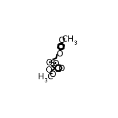 COC(=O)C1(CS(=O)(=O)CCCOc2ccc(OC)cc2)CCOCC1